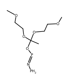 COCCOC(C)(OCCOC)OP=NP